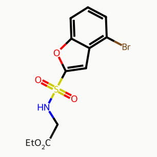 CCOC(=O)CNS(=O)(=O)c1cc2c(Br)cccc2o1